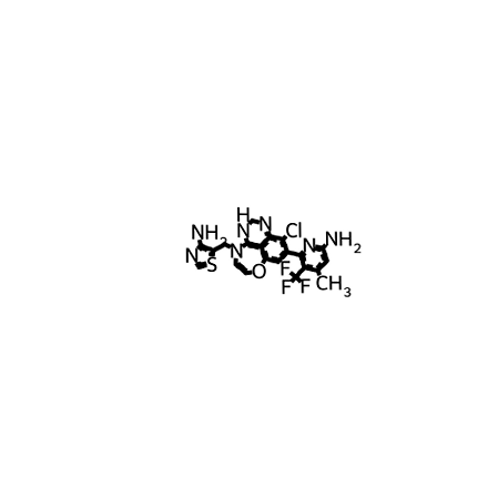 Cc1cc(N)nc(-c2cc3c4c(c2Cl)=NCNC=4N(Cc2scnc2N)C=CO3)c1C(F)(F)F